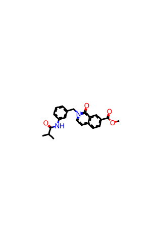 COC(=O)c1ccc2ccn(Cc3cccc(NC(=O)C(C)C)c3)c(=O)c2c1